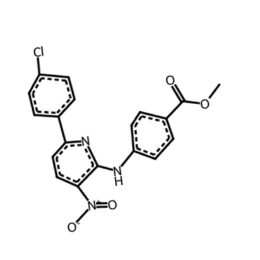 COC(=O)c1ccc(Nc2nc(-c3ccc(Cl)cc3)ccc2[N+](=O)[O-])cc1